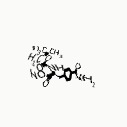 CC(C)(C)OC(=O)N[C@@H](Cc1ccc(C(N)=O)cc1)C(=O)O